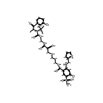 CC(C(=O)c1cccc(Cl)c1)N(C(=O)OCOC(=O)C(=O)COCCCOC(=O)c1cc(S(N)(=O)=O)c(Cl)cc1NCc1ccco1)C(C)(C)C